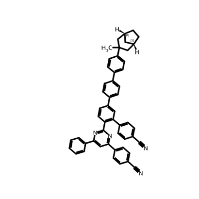 CC1(c2ccc(-c3ccc(-c4ccc(-c5nc(-c6ccccc6)cc(-c6ccc(C#N)cc6)n5)c(-c5ccc(C#N)cc5)c4)cc3)cc2)C[C@@H]2CC[C@@H](C2)C1